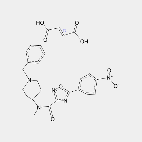 CN(C(=O)c1noc(-c2ccc([N+](=O)[O-])cc2)n1)C1CCN(Cc2ccccc2)CC1.O=C(O)/C=C/C(=O)O